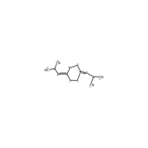 N#CC(C#N)C=C1CCC(=CC(C#N)C#N)CC1